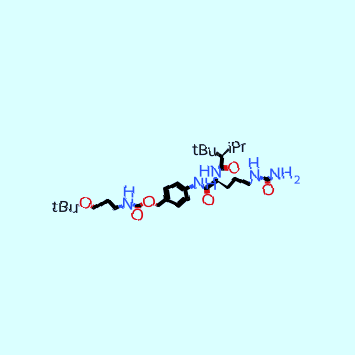 CC(C)[C@@H](C(=O)N[C@@H](CCCNC(N)=O)C(=O)Nc1ccc(COC(=O)NCCCOC(C)(C)C)cc1)C(C)(C)C